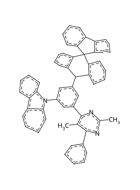 Cc1nc(-c2ccccc2)c(C)c(-c2cc(C3c4ccccc4C4(c5ccccc5-c5ccccc54)c4ccccc43)cc(-n3c4ccccc4c4ccccc43)c2)n1